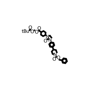 CC(C)(C)C(=O)OCOC(=O)C1CCC(N2CCN(c3ccc(C4CCN(C(=O)OCc5ccccc5)CC4)cc3)C2=O)CC1